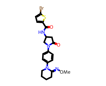 CON=C1CCCCN1c1ccc(N2CC(NC(=O)c3ccc(Br)s3)CC2=O)cc1